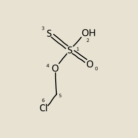 O=S(O)(=S)OCCl